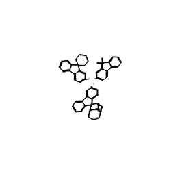 CC1(C)c2ccccc2-c2ccc(N(c3ccc4c(c3)-c3ccccc3C43C4CCC5CC(C4)CC3C5)c3ccc4c(c3)C3(CCCCC3)c3ccccc3-4)cc21